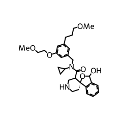 COCCCc1cc(CN(C(=O)C2CNCC[C@@]23OC(O)c2ccccc23)C2CC2)cc(OCCOC)c1